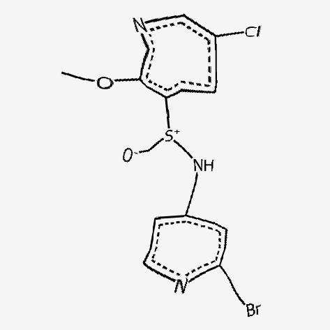 COc1ncc(Cl)cc1[S+]([O-])Nc1ccnc(Br)c1